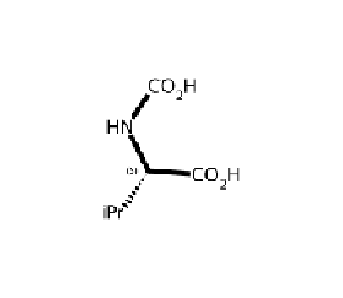 CC(C)[C@H](NC(=O)O)C(=O)O